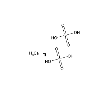 O=S(=O)(O)O.O=S(=O)(O)O.[GaH3].[Ti]